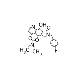 CCN(CC)C(=O)Oc1c2c(c(O)c3ncccc13)C(=O)N(Cc1ccc(F)cc1)C2